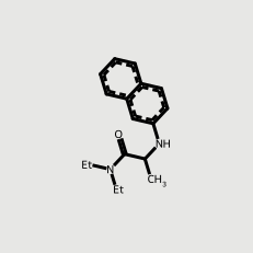 CCN(CC)C(=O)C(C)Nc1ccc2ccccc2c1